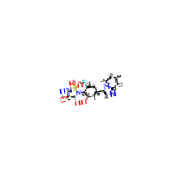 O=C1CN(c2c(O)cc(-c3cnc4ccccn34)cc2F)S(=O)(=O)N1